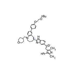 CCCCOCCOc1ccc(-c2ccc3c(c2)/C=C(/c2nc4cc([S+]([O-])Cc5c(C)nc(C)n5CCC)ccc4[nH]2)CCCN3CC2CCOCC2)cc1